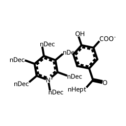 CCCCCCCC(=O)c1ccc(O)c(C(=O)[O-])c1.CCCCCCCCCCc1c(CCCCCCCCCC)c(CCCCCCCCCC)[n+](CCCCCCCCCC)c(CCCCCCCCCC)c1CCCCCCCCCC